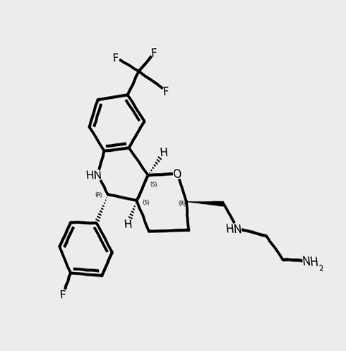 NCCNC[C@H]1CC[C@@H]2[C@H](O1)c1cc(C(F)(F)F)ccc1N[C@H]2c1ccc(F)cc1